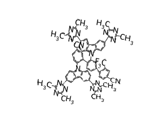 Cc1nc(C)nc(-c2ccc3c(c2)c2cc(-c4nc(C)nc(C)n4)ccc2n3-c2ccc(C#N)cc2-c2ccc(-c3ccc(C#N)cc3C(F)(F)F)cc2-n2c3ccc(-c4nc(C)nc(C)n4)cc3c3cc(-c4nc(C)nc(C)n4)ccc32)n1